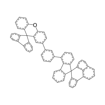 c1cc(-c2ccc3c(c2)C2(c4ccccc4O3)c3ccccc3-c3ccccc32)cc(-c2cccc3c2-c2ccccc2C32c3ccccc3-c3cccc4cccc2c34)c1